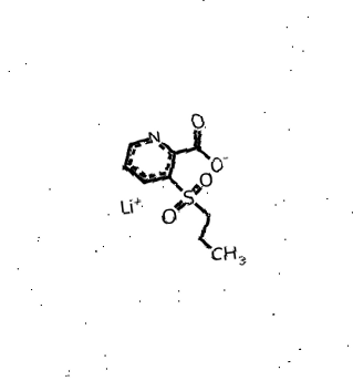 CCCS(=O)(=O)c1cccnc1C(=O)[O-].[Li+]